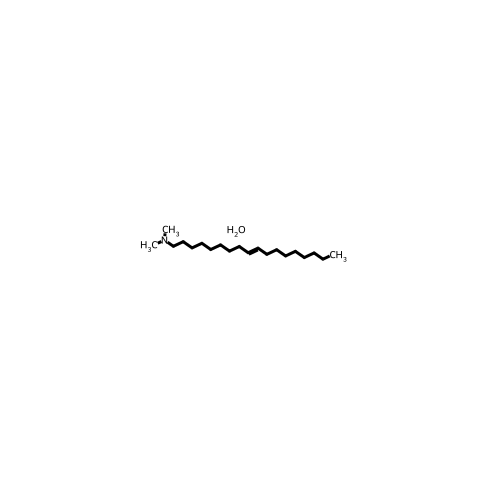 CCCCCCCCC=CCCCCCCCCN(C)C.O